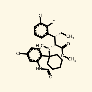 CC[C@@H](c1cccc(Cl)c1F)[C@H](C(=O)OC)N(C)C1(c2ccc(Cl)cc2NC=O)CCCCC1